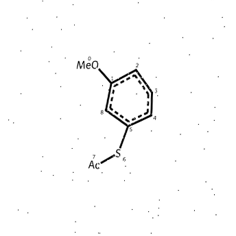 COc1cccc(SC(C)=O)c1